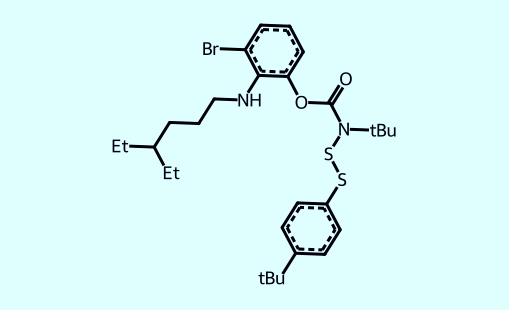 CCC(CC)CCCNc1c(Br)cccc1OC(=O)N(SSc1ccc(C(C)(C)C)cc1)C(C)(C)C